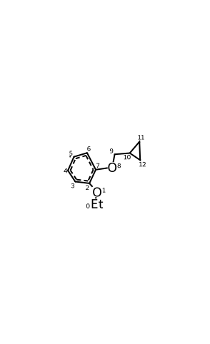 CCOc1cc[c]cc1OCC1CC1